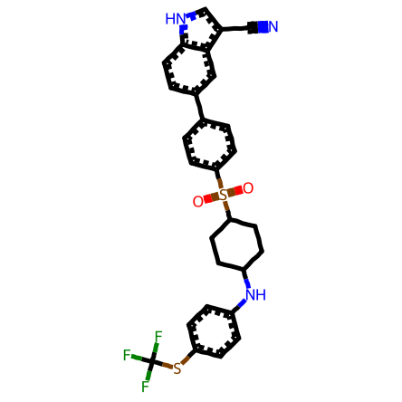 N#Cc1c[nH]c2ccc(-c3ccc(S(=O)(=O)C4CCC(Nc5ccc(SC(F)(F)F)cc5)CC4)cc3)cc12